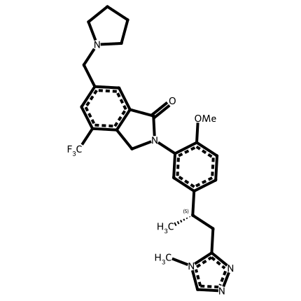 COc1ccc([C@@H](C)Cc2nncn2C)cc1N1Cc2c(cc(CN3CCCC3)cc2C(F)(F)F)C1=O